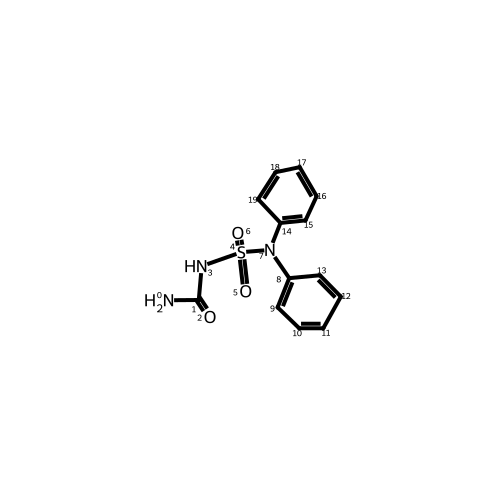 NC(=O)NS(=O)(=O)N(c1ccccc1)c1ccccc1